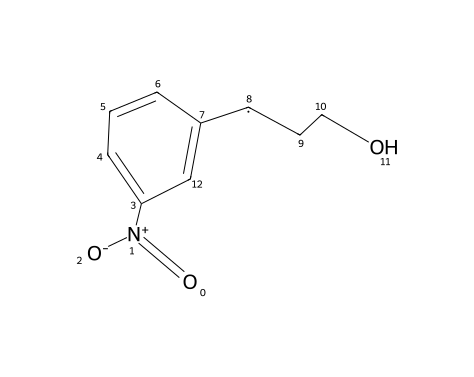 O=[N+]([O-])c1cccc([CH]CCO)c1